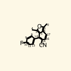 Cc1oc(C)c2c(-c3ccc(F)cc3)c(C#N)ccc12